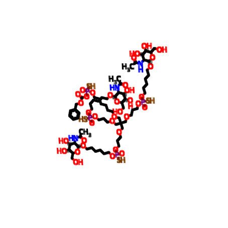 CC(=O)NC1[C@H](OCCCCCCOP(=O)(S)OCCCOCC(COCCCCCCOP(=O)(S)OC(=O)OCc2ccccc2)(COCCCOP(=O)(S)OCCCCCCO[C@@H]2OC(CO)[C@@H](O)[C@H](O)C2NC(C)=O)COCCCOP(=O)(S)OCCCCCCO[C@@H]2OC(CO)[C@H](O)[C@H](O)C2NC(C)=O)OC(CO)[C@@H](O)[C@@H]1O